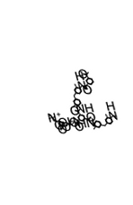 CNc1ccc(Cc2ccc(NC(=O)c3cc(C(=O)Nc4ccc(Cc5ccc(NC(=O)c6cccc(C(C)=O)c6)c(C)c5)cc4C)cc(C(=O)OCCOP(=O)(O)OCC[N+](C)(C)C)c3)c(C)c2)cc1C